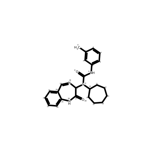 Cc1cccc(NC(=O)N(C2CCCCCC2)C2N=Cc3ccccc3NC2=O)c1